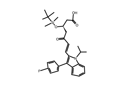 CC(C)n1c(/C=C/C(=O)C[C@H](CC(=O)O)O[Si](C)(C)C(C)(C)C)c(-c2ccc(F)cc2)c2ccccc21